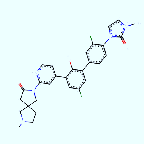 CN1CCC2(CC(=O)N(c3cc(-c4cc(F)cc(-c5ccc(-n6ccn(C)c6=O)c(Cl)c5)c4O)ccn3)C2)C1